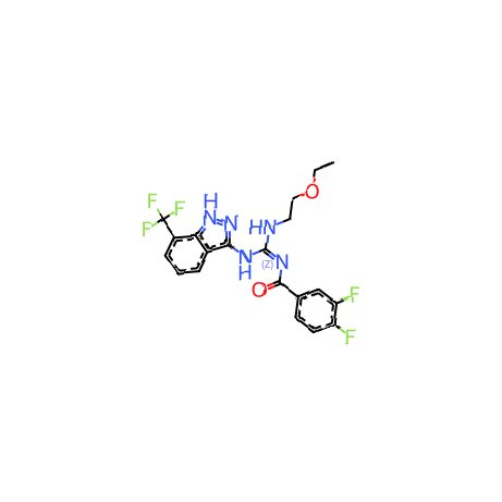 CCOCCN/C(=N/C(=O)c1ccc(F)c(F)c1)Nc1n[nH]c2c(C(F)(F)F)cccc12